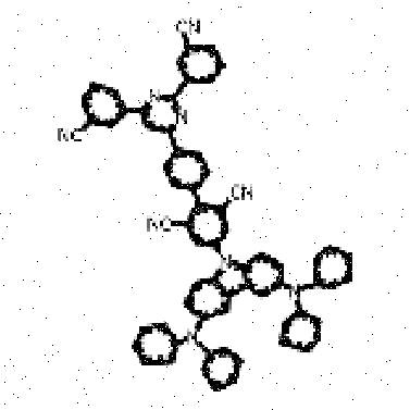 N#Cc1cccc(-c2cc(-c3ccc(-c4c(C#N)cc(-n5c6ccc(N(c7ccccc7)c7ccccc7)cc6c6cc(N(c7ccccc7)c7ccccc7)ccc65)cc4C#N)cc3)nc(-c3cccc(C#N)c3)n2)c1